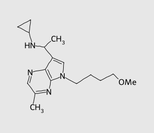 COCCCCn1cc(C(C)NC2CC2)c2ncc(C)nc21